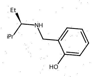 CC[C@@H](NCc1ccccc1O)C(C)C